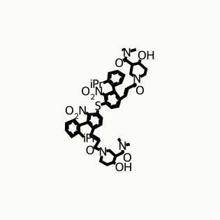 CC(C)c1ccccc1-c1c(/C=C/C(=O)N2CCC(O)C(C(=O)N(C)C)C2)ccc(Sc2ccc(/C=C/C(=O)N3CCC(O)C(C(=O)N(C)C)C3)c(-c3ccccc3C(C)C)c2[N+](=O)[O-])c1[N+](=O)[O-]